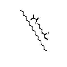 C=CC(=O)OCCCOC(=O)C(=C)C.[CH2]CCCCCCCCCCCCCCCCC